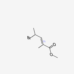 COC(=O)/C(C)=C/C(C)Br